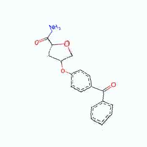 NC(=O)C1[CH]C(Oc2ccc(C(=O)c3ccccc3)cc2)CO1